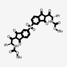 CC(C)[C@H](NC(=O)OC(C)(C)C)C(=O)C1C(=O)c2ccc(S(=O)(=O)c3ccc4c(c3)C(=O)C(C(=O)[C@@H](NC(=O)OC(C)(C)C)C(C)C)C4=O)cc2C1=O